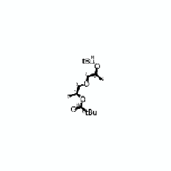 CC(COCC(C)OC(C)(C)C)OC(=O)C(C)(C)C